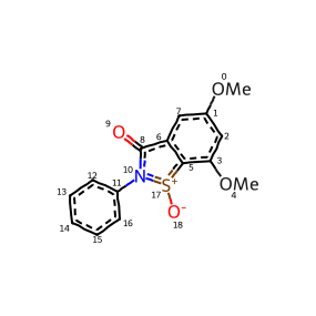 COc1cc(OC)c2c(c1)c(=O)n(-c1ccccc1)[s+]2[O-]